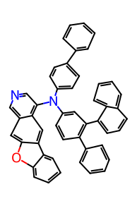 c1ccc(-c2ccc(N(c3ccc(-c4ccccc4)c(-c4cccc5ccccc45)c3)c3cncc4cc5oc6ccccc6c5cc34)cc2)cc1